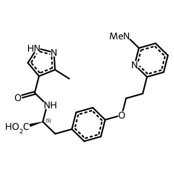 CNc1cccc(CCOc2ccc(C[C@H](NC(=O)c3c[nH]nc3C)C(=O)O)cc2)n1